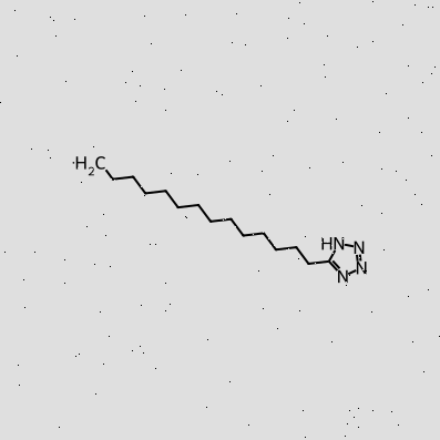 [CH2]CCCCCCCCCCCCCc1nnn[nH]1